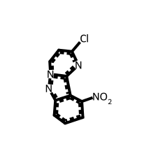 O=[N+]([O-])c1cccc2nn3ccc(Cl)nc3c12